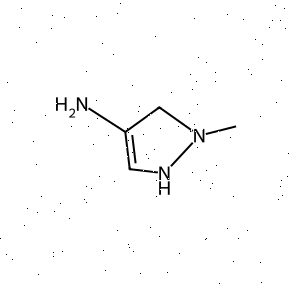 CN1CC(N)=CN1